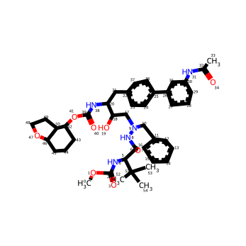 COC(=O)NC(C(=O)NN(Cc1ccccc1)CC(O)C(Cc1ccc(-c2cccc(NC(C)=O)c2)cc1)NC(=O)OC1CCCC2OCCC21)C(C)(C)C